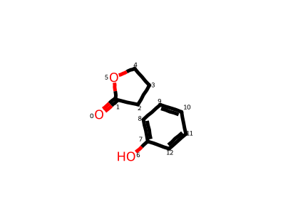 O=C1CCCO1.Oc1ccccc1